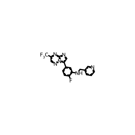 Fc1ccc(-c2cnc3nc(C(F)(F)F)cnn23)cc1NCc1cccnc1